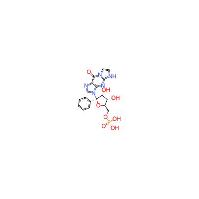 O=c1c2ncn([C@]3(c4ccccc4)O[C@H](COP(=O)(O)O)[C@@H](O)[C@H]3O)c2nc2[nH]ccn12